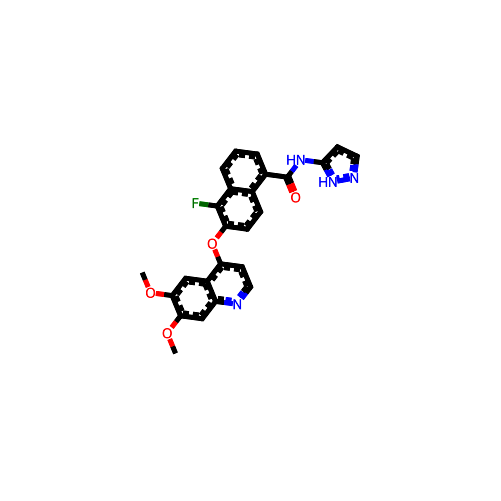 COc1cc2nccc(Oc3ccc4c(C(=O)Nc5ccn[nH]5)cccc4c3F)c2cc1OC